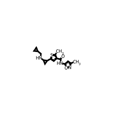 Cc1cc(NC(=O)c2cc(C3CC3NCC3CC3)sc2C)on1